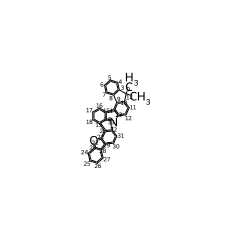 CC1(C)c2ccccc2-c2c1ccc1c2c2cccc3c4c5oc6ccccc6c5ccc4n1c23